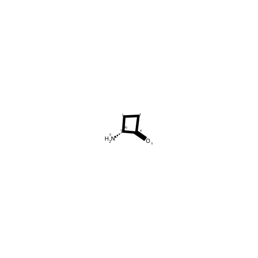 N[C@@H]1CCC1=O